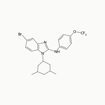 CC1CC(C)CC(n2c(Nc3ccc(OC(F)(F)F)cc3)nc3cc(Br)ccc32)C1